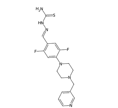 NC(=S)N/N=C/c1cc(F)c(N2CCN(Cc3cccnc3)CC2)cc1F